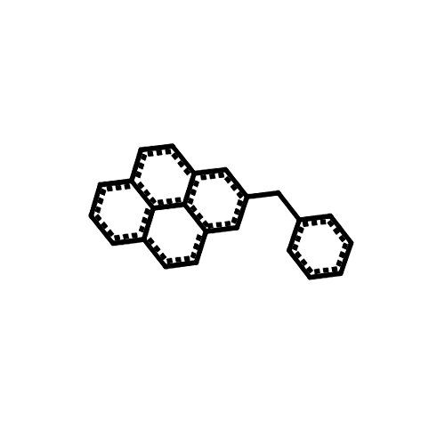 c1ccc(Cc2cc3ccc4cccc5ccc(c2)c3c45)cc1